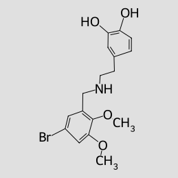 COc1cc(Br)cc(CNCCc2ccc(O)c(O)c2)c1OC